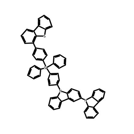 c1ccc([Si](c2ccccc2)(c2ccc(-c3cccc4c3sc3ccccc34)cc2)c2ccc(-n3c4ccccc4c4cc(-n5c6ccccc6c6ccccc65)ccc43)cc2)cc1